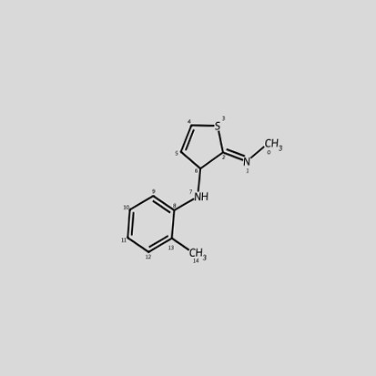 C/N=C1\SC=CC1Nc1ccccc1C